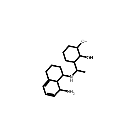 CC(NC1CCCC2=CC=CC(N)C21)C1CCCC(O)C1O